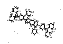 c1ccc(-n2c(-c3ccc(N4c5ccccc5Cc5ccccc54)cc3)nc3cc4c(cc32)nc(-c2ccc(N3c5ccccc5Sc5ccccc53)cc2)n4-c2ccccc2)cc1